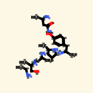 CCC(C)C(N)C(=O)O.NC(=O)CC(N)C(=O)O.NC(CO)C(=O)O.NC(Cc1ccc(O)cc1)C(=O)O.NCC(=O)O.O=C(O)C1CCCN1